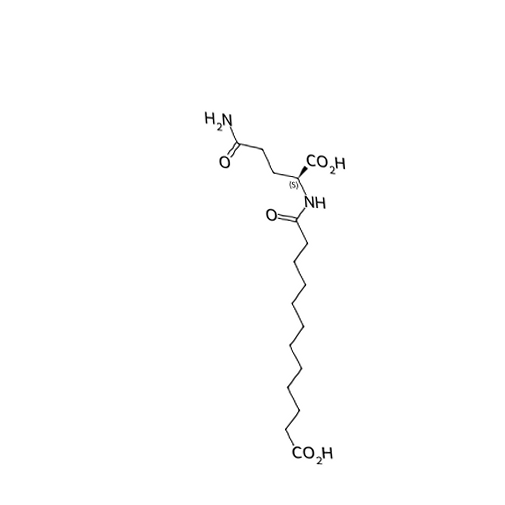 NC(=O)CC[C@H](NC(=O)CCCCCCCCCCC(=O)O)C(=O)O